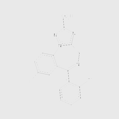 O=C(O)c1nc2n(n1)-c1ccc(F)cc1C(c1ccccc1F)=NC2